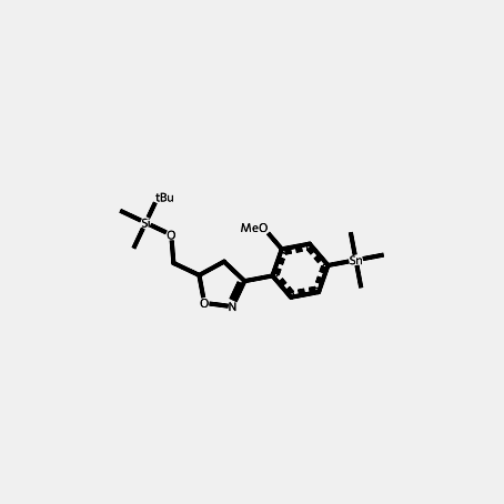 COc1c[c]([Sn]([CH3])([CH3])[CH3])ccc1C1=NOC(CO[Si](C)(C)C(C)(C)C)C1